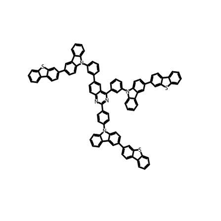 c1cc(-c2ccc3nc(-c4ccc(-n5c6ccccc6c6cc(-c7ccc8c(c7)sc7ccccc78)ccc65)cc4)nc(-c4cccc(-n5c6ccccc6c6cc(-c7ccc8c(c7)sc7ccccc78)ccc65)c4)c3c2)cc(-n2c3ccccc3c3cc(-c4ccc5c(c4)sc4ccccc45)ccc32)c1